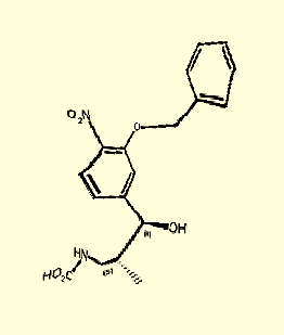 C[C@H](NC(=O)O)[C@H](O)c1ccc([N+](=O)[O-])c(OCc2ccccc2)c1